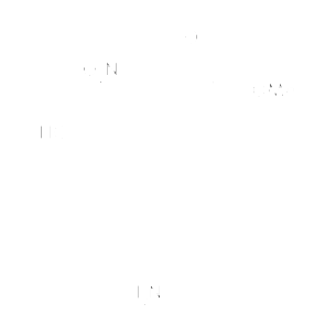 COC(=O)c1cc(CN)ccc1[N+](=O)[O-].Cl